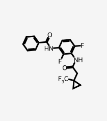 O=C(CC1(C(F)(F)F)CC1)Nc1c(F)ccc(NC(=O)c2ccccc2)c1F